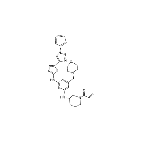 C=CC(=O)N1CCC[C@H](Nc2cc(CN3CCOCC3)cc(Nc3ncc(-c4cn(-c5ccccc5)nn4)s3)n2)C1